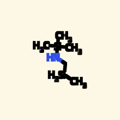 C[SiH2]CN[Si](C)(C)C